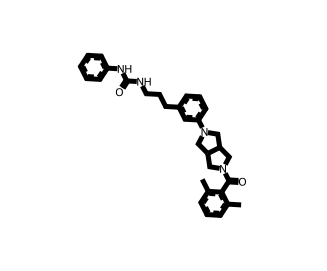 Cc1cccc(C)c1C(=O)N1CC2CN(c3cccc(CCCNC(=O)Nc4ccccc4)c3)CC2C1